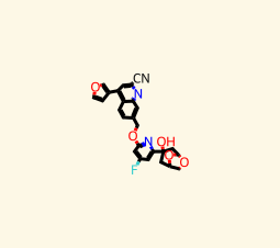 N#Cc1cc(-c2ccoc2)c2ccc(COc3cc(F)cc(C4(O)CC5COC(C4)O5)n3)cc2n1